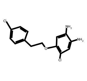 Nc1cc(Cl)c(OCCc2ccc(Cl)cc2)cc1N